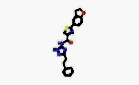 O=C(Nc1nc(CCc2ccccc2)n[nH]1)c1csc(-c2ccc3c(c2)CCO3)n1